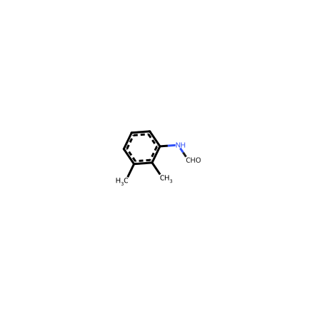 Cc1cccc(NC=O)c1C